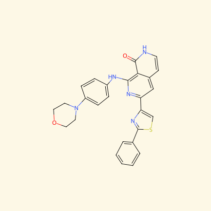 O=c1[nH]ccc2cc(-c3csc(-c4ccccc4)n3)nc(Nc3ccc(N4CCOCC4)cc3)c12